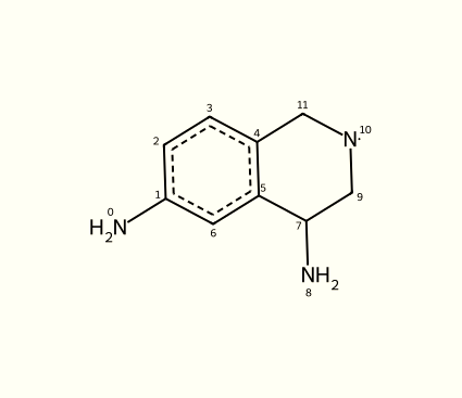 Nc1ccc2c(c1)C(N)C[N]C2